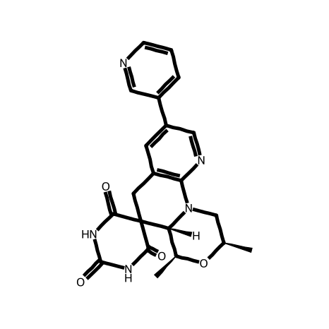 C[C@@H]1CN2c3ncc(-c4cccnc4)cc3CC3(C(=O)NC(=O)NC3=O)[C@H]2[C@H](C)O1